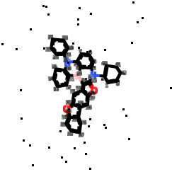 C1=CC(N2c3cccc4c3B(c3ccccc3N4c3ccccc3)c3c2oc2cc4c(cc32)oc2ccccc24)=CCC1